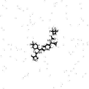 Cc1nonc1C(=O)N[C@H](c1cn2ncc(C(NC(=O)C[C@H]3CC(F)(F)C3(F)F)C3CC3)cc2n1)C1CCC(F)(F)CC1